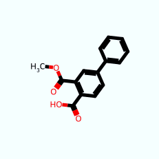 COC(=O)c1cc(-c2ccccc2)ccc1C(=O)O